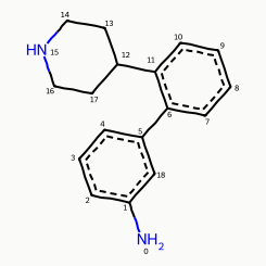 Nc1cccc(-c2ccccc2C2CCNCC2)c1